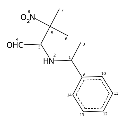 CC(NC(C=O)C(C)(C)[N+](=O)[O-])c1ccccc1